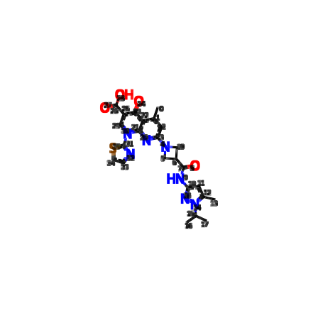 Cc1cc(N2CC(C(=O)Nc3cc(C)n(C(C)C)n3)C2)nc2c1c(=O)c(C(=O)O)cn2-c1nccs1